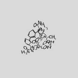 Cc1c(-c2cccc(-c3c(C(N)=O)nc4n3CCN(C(C)CO)C4)c2C)cccc1-c1c(C(N)=O)nc2n1CCN(C(C)CO)C2